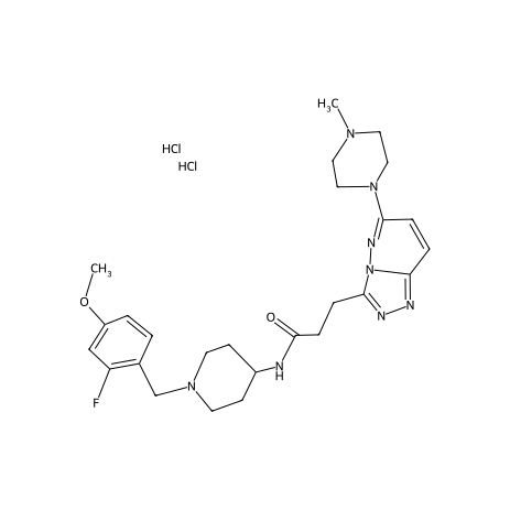 COc1ccc(CN2CCC(NC(=O)CCc3nnc4ccc(N5CCN(C)CC5)nn34)CC2)c(F)c1.Cl.Cl